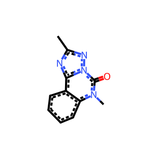 Cc1nc2c3ccccc3n(C)c(=O)n2n1